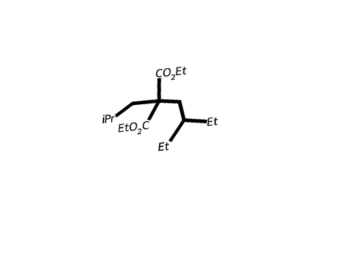 CCOC(=O)C(CC(C)C)(CC(CC)CC)C(=O)OCC